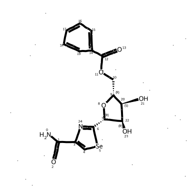 NC(=O)c1c[se]c([C@@H]2O[C@H](COC(=O)c3ccccc3)[C@@H](O)[C@H]2O)n1